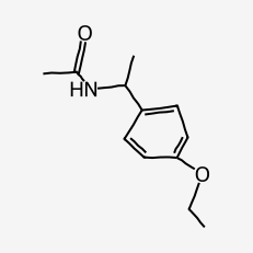 CCOc1ccc(C(C)NC(C)=O)cc1